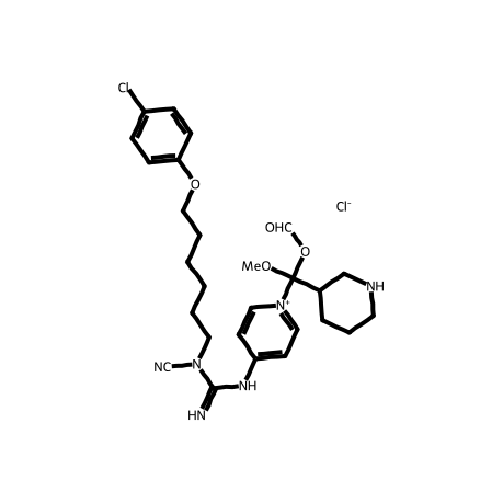 COC(OC=O)(C1CCCNC1)[n+]1ccc(NC(=N)N(C#N)CCCCCCOc2ccc(Cl)cc2)cc1.[Cl-]